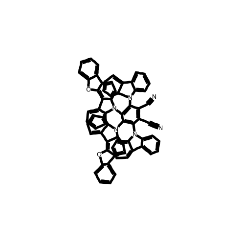 N#Cc1c(C#N)c(-n2c3ccccc3c3ccccc32)c(-n2c3ccccc3c3c4oc5ccccc5c4ccc32)c(-n2c3ccccc3c3c4oc5ccccc5c4ccc32)c1-n1c2ccccc2c2ccccc21